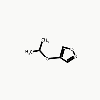 CC(C)Oc1cnoc1